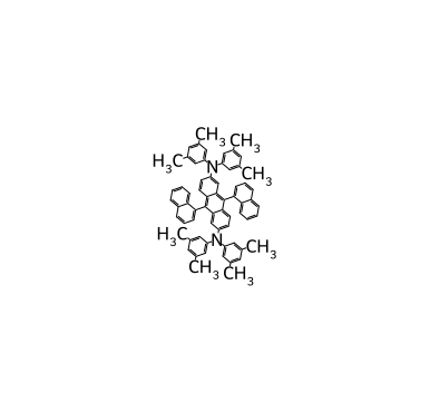 Cc1cc(C)cc(N(c2cc(C)cc(C)c2)c2ccc3c(-c4cccc5ccccc45)c4cc(N(c5cc(C)cc(C)c5)c5cc(C)cc(C)c5)ccc4c(-c4cccc5ccccc45)c3c2)c1